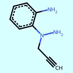 C#CCN(N)c1ccccc1N